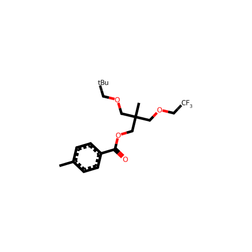 Cc1ccc(C(=O)OCC(C)(COCC(C)(C)C)COCC(F)(F)F)cc1